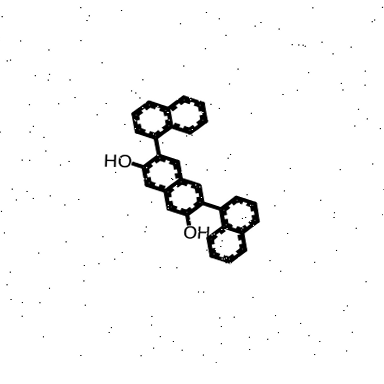 Oc1cc2cc(O)c(-c3cccc4ccccc34)cc2cc1-c1cccc2ccccc12